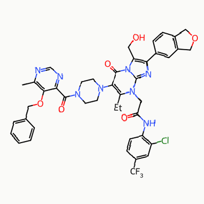 CCc1c(N2CCN(C(=O)c3ncnc(C)c3OCc3ccccc3)CC2)c(=O)n2c(CO)c(-c3ccc4c(c3)COC4)nc2n1CC(=O)Nc1ccc(C(F)(F)F)cc1Cl